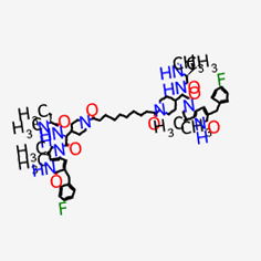 CC[C@H](NC)C(=O)N[C@H](C(=O)N1CC(C)(C)c2[nH]c(=O)c(Cc3ccc(F)cc3)cc21)C1CCN(C(=O)CCCCCCCCC(=O)N2CCC([C@H](NC(=O)[C@H](CC)NC)C(=O)N3CC(C)(C)c4[nH]c(=O)c(Cc5ccc(F)cc5)cc43)CC2)CC1